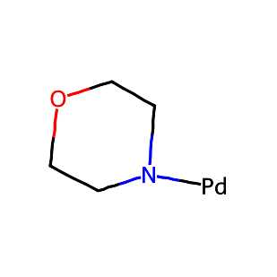 [Pd][N]1CCOCC1